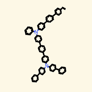 C=Cc1ccc(-c2ccc(-c3ccc(N(c4ccccc4)c4ccc(-c5ccc(-c6ccc(N(c7ccc(-c8ccccc8)cc7)c7ccc(-c8ccccc8)cc7)cc6)cc5)cc4)cc3)cc2)cc1